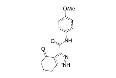 COc1ccc(NC(=O)c2n[nH]c3c2C(=O)CCC3)cc1